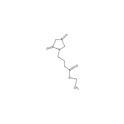 CCOC(=O)CCCN1CC(=O)CC1=O